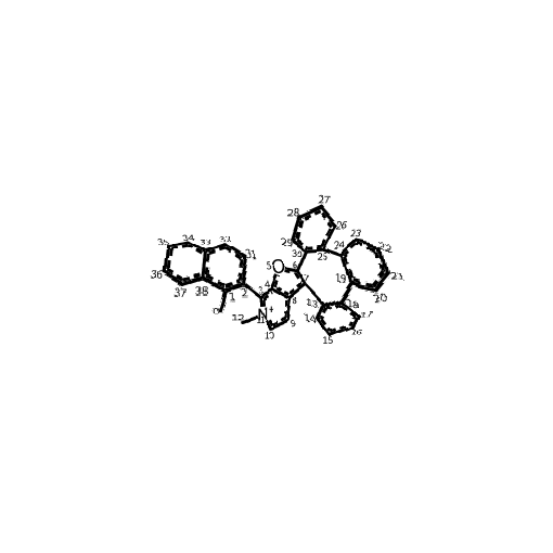 Cc1c(-c2c3oc4c(c3cc[n+]2C)-c2ccccc2-c2ccccc2-c2ccccc2-4)ccc2ccccc12